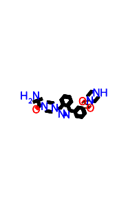 CC(C)(N)C(=O)N1CCN(c2nnc(-c3cccc(S(=O)(=O)N4CCNCC4)c3)c3ccccc23)CC1